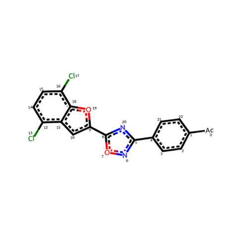 CC(=O)c1ccc(-c2noc(-c3cc4c(Cl)ccc(Cl)c4o3)n2)cc1